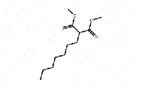 [CH2]CCCCCCC(C(=O)OC)C(=O)OC